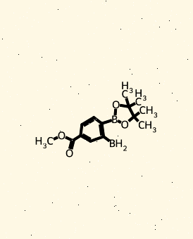 Bc1cc(C(=O)OC)ccc1B1OC(C)(C)C(C)(C)O1